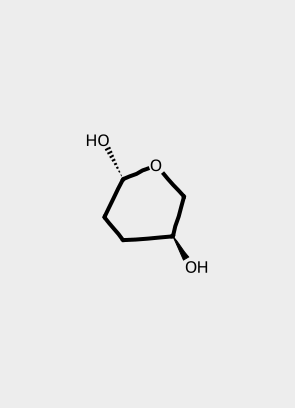 O[C@H]1CC[C@H](O)OC1